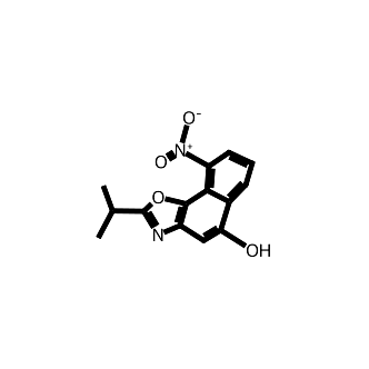 CC(C)c1nc2cc(O)c3cccc([N+](=O)[O-])c3c2o1